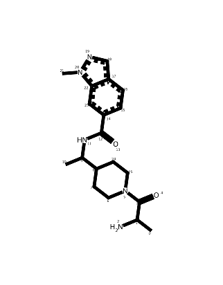 CC(N)C(=O)N1CCC(C(C)NC(=O)c2ccc3cnn(C)c3c2)CC1